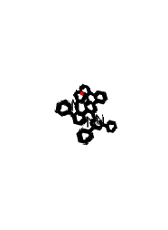 c1ccc(-c2cc(-c3ccccc3)nc(-c3cc4c5ccccc5c5ccccc5c4cc3-c3cccc4c5ccccc5n(-c5ccccc5)c34)n2)cc1